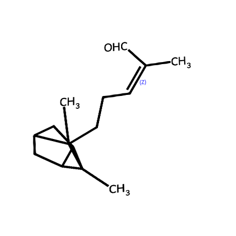 C/C(C=O)=C/CCC1(C)C2CC3C(C2)C31C